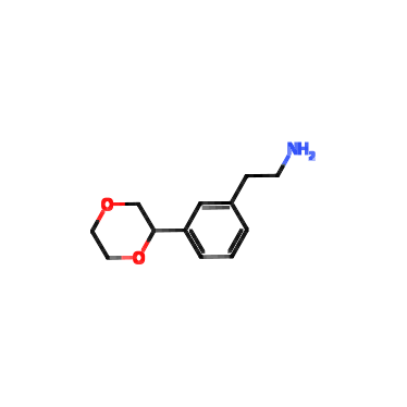 NCCc1cccc(C2COCCO2)c1